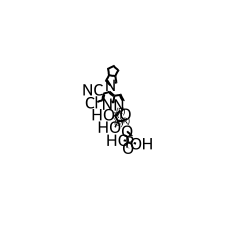 N#Cc1c(Cl)nc2c(ccn2[C@@H]2O[C@H](COCP(=O)(O)O)[C@@H](O)[C@H]2O)c1N1CC2CCCC2C1